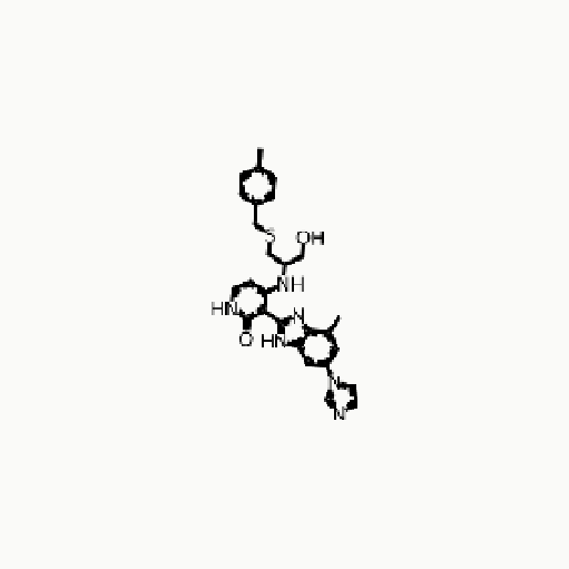 Cc1ccc(CSCC(CO)Nc2cc[nH]c(=O)c2-c2nc3c(C)cc(-n4ccnc4)cc3[nH]2)cc1